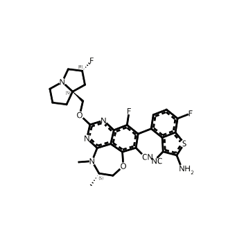 C[C@H]1COc2c(C#N)c(-c3ccc(F)c4sc(N)c(C#N)c34)c(F)c3nc(OC[C@@]45CCCN4C[C@H](F)C5)nc(c23)N1C